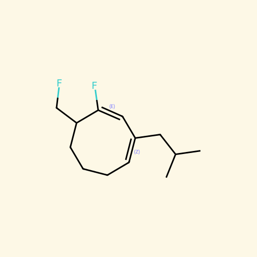 CC(C)CC1=C/CCCC(CF)/C(F)=C\1